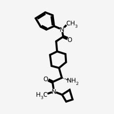 CN(C(=O)CC1CCC([C@H](N)C(=O)N(C)C2CCC2)CC1)c1ccccc1